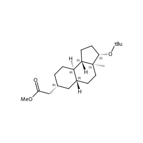 COC(=O)C[C@@H]1CC[C@@H]2[C@H](CC[C@]3(C)[C@@H](OC(C)(C)C)CC[C@@H]23)C1